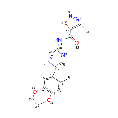 Cc1cc2c(cc1-c1cnc(NC(=O)c3snnc3C)cn1)OCCO2